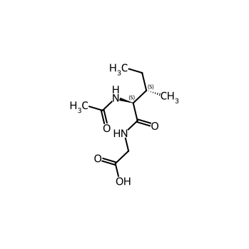 CC[C@H](C)[C@H](NC(C)=O)C(=O)NCC(=O)O